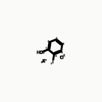 Oc1ccccc1I.[Cl-].[K+]